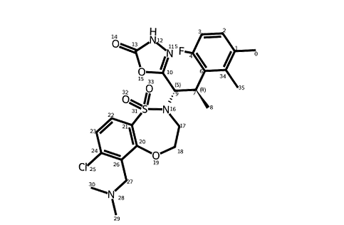 Cc1ccc(F)c([C@@H](C)[C@@H](c2n[nH]c(=O)o2)N2CCOc3c(ccc(Cl)c3CN(C)C)S2(=O)=O)c1C